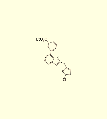 CCOC(=O)c1cccc(-c2cccc3cc(Cc4ccc(Cl)s4)sc23)c1